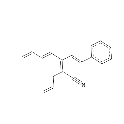 C=CC=CC(C=Cc1ccccc1)=C(C#N)CC=C